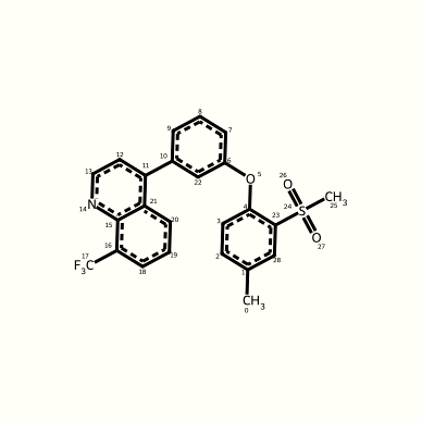 Cc1ccc(Oc2cccc(-c3ccnc4c(C(F)(F)F)cccc34)c2)c(S(C)(=O)=O)c1